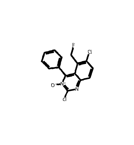 [O-][n+]1c(Cl)nc2ccc(Cl)c(CF)c2c1-c1ccccc1